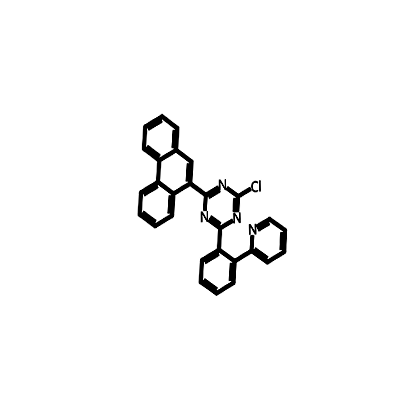 Clc1nc(-c2ccccc2-c2ccccn2)nc(-c2cc3ccccc3c3ccccc23)n1